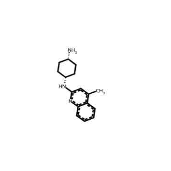 Cc1cc(N[C@H]2CC[C@@H](N)CC2)nc2ccccc12